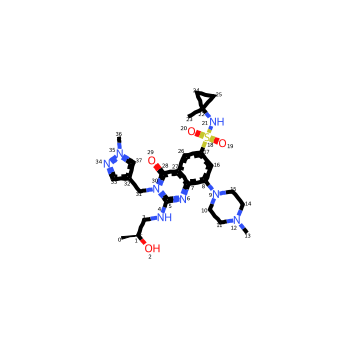 C[C@H](O)CNc1nc2c(N3CCN(C)CC3)cc(S(=O)(=O)NC3(C)CC3)cc2c(=O)n1Cc1cnn(C)c1